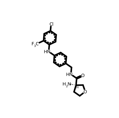 N[C@@]1(C(=O)NCc2ccc(Nc3ccc(Cl)cc3C(F)(F)F)cc2)CCOC1